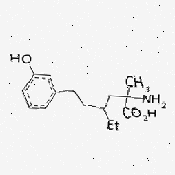 CCC(CCc1cccc(O)c1)CC(C)(N)C(=O)O